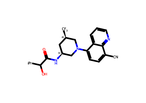 CC(C)C(O)C(=O)N[C@H]1C[C@@H](C(F)(F)F)CN(c2ccc(C#N)c3ncccc23)C1